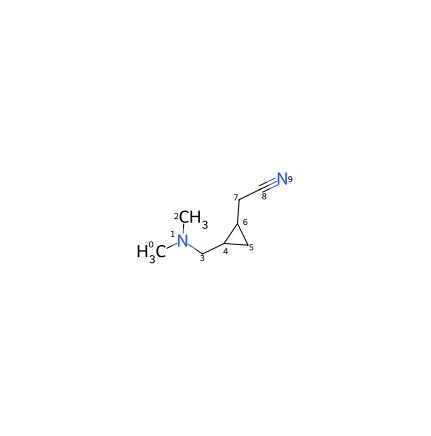 CN(C)CC1CC1CC#N